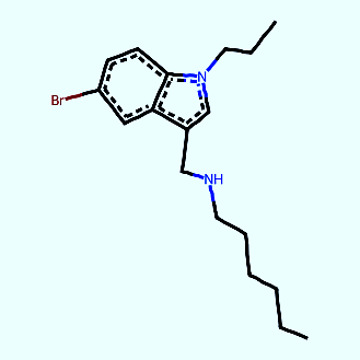 CCCCCCNCc1cn(CCC)c2ccc(Br)cc12